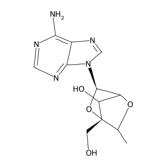 CC1OC2C(O)[C@@]1(CO)O[C@H]2n1cnc2c(N)ncnc21